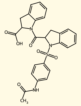 CC(=O)Nc1ccc(S(=O)(=O)N2c3ccccc3CC2C(=O)N2c3ccccc3CC2C(=O)O)cc1